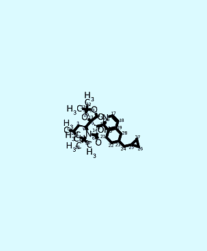 CC(C)C[C@H](N(C(=O)O)C(C)(C)C)[C@@]1(Cc2nccc3c2CCC(CC2CC2)C3)OC(C)(C)OC1=O